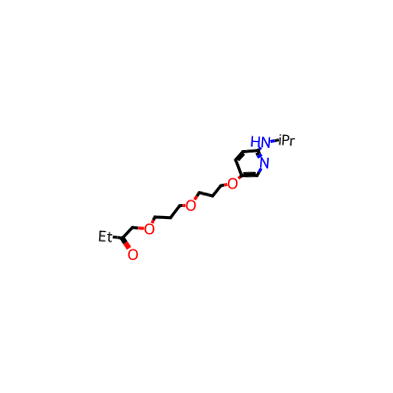 CCC(=O)COCCCOCCCOc1ccc(NC(C)C)nc1